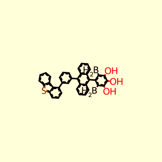 Bc1c(O)c(O)c(O)c(B)c1-c1c2ccccc2c(-c2cccc(-c3cccc4sc5ccccc5c34)c2)c2ccccc12